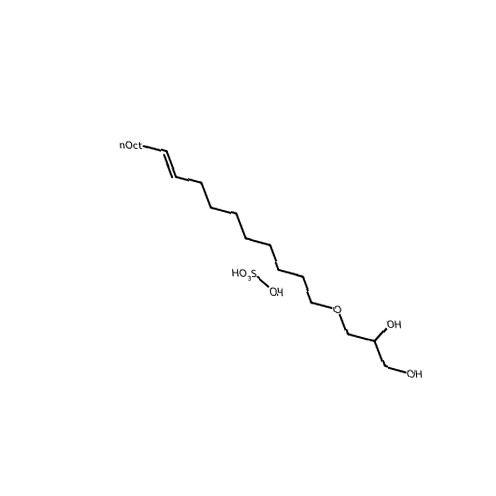 CCCCCCCCC=CCCCCCCCCOCC(O)CO.O=S(=O)(O)O